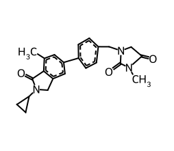 Cc1cc(-c2ccc(CN3CC(=O)N(C)C3=O)cc2)cc2c1C(=O)N(C1CC1)C2